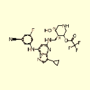 N#Cc1cc(F)cc(Nc2cc(NC[C@@H]3C(OC(=O)C(F)(F)F)CNC[C@H]3O)nc3c(C4CC4)cnn23)c1